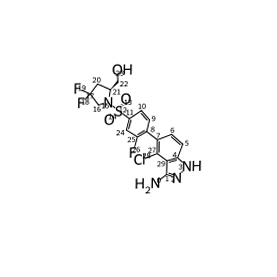 Nc1n[nH]c2ccc(-c3ccc(S(=O)(=O)N4CC(F)(F)C[C@H]4CO)cc3F)c(Cl)c12